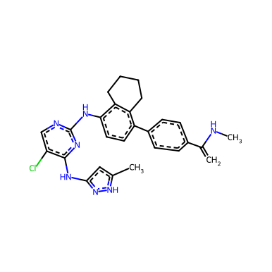 C=C(NC)c1ccc(-c2ccc(Nc3ncc(Cl)c(Nc4cc(C)[nH]n4)n3)c3c2CCCC3)cc1